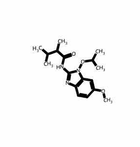 COc1ccc2nc(NC(=O)C(C)C(C)C)n(OC(C)C)c2c1